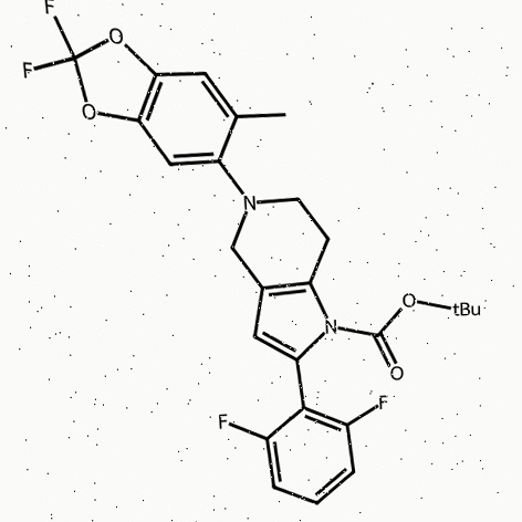 Cc1cc2c(cc1N1CCc3c(cc(-c4c(F)cccc4F)n3C(=O)OC(C)(C)C)C1)OC(F)(F)O2